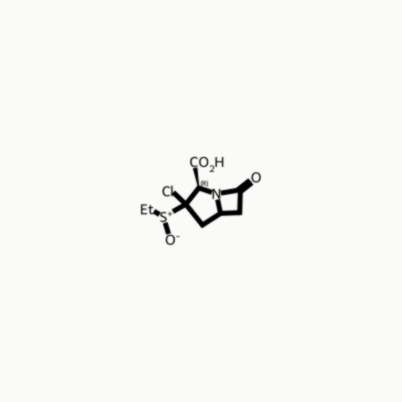 CC[S+]([O-])C1(Cl)CC2CC(=O)N2[C@@H]1C(=O)O